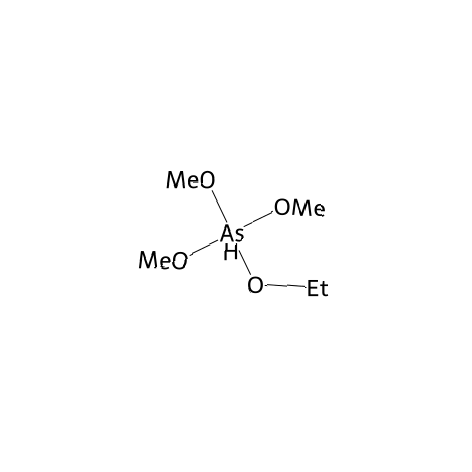 CCO[AsH](OC)(OC)OC